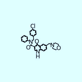 O=C(c1c[nH]c2ccc(CN3CCOCC3)cc2c1=O)N(Cc1ccc(Cl)cc1)c1ccccc1